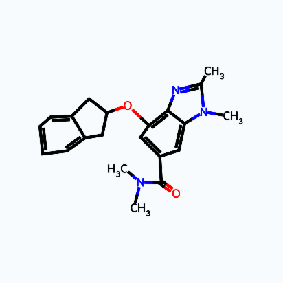 Cc1nc2c(OC3Cc4ccccc4C3)cc(C(=O)N(C)C)cc2n1C